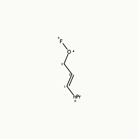 CCCC=CCOF